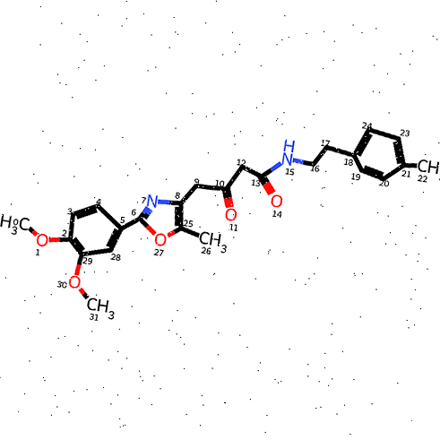 COc1ccc(-c2nc(CC(=O)CC(=O)NCCc3ccc(C)cc3)c(C)o2)cc1OC